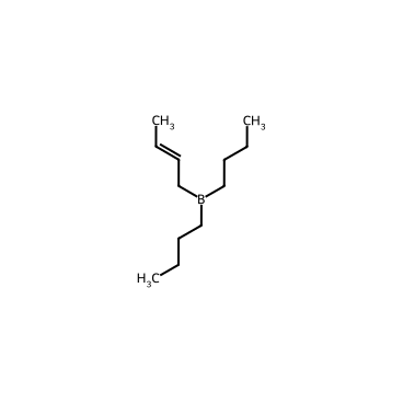 CC=CCB(CCCC)CCCC